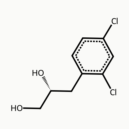 OC[C@H](O)Cc1ccc(Cl)cc1Cl